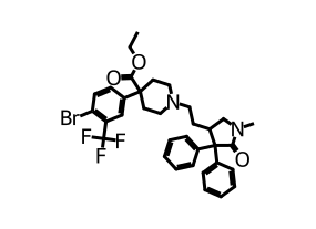 CCOC(=O)C1(c2ccc(Br)c(C(F)(F)F)c2)CCN(CCC2CN(C)C(=O)C2(c2ccccc2)c2ccccc2)CC1